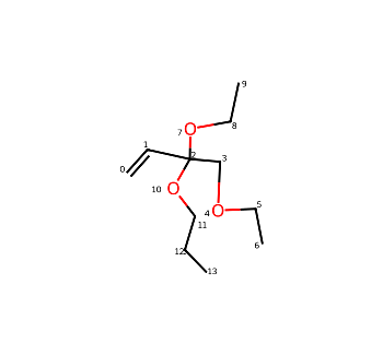 C=CC(COCC)(OCC)OC[CH]C